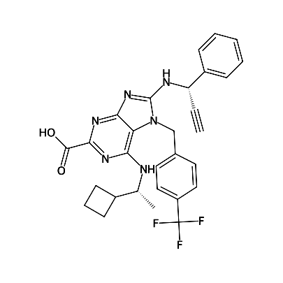 C#C[C@H](Nc1nc2nc(C(=O)O)nc(N[C@H](C)C3CCC3)c2n1Cc1ccc(C(F)(F)F)cc1)c1ccccc1